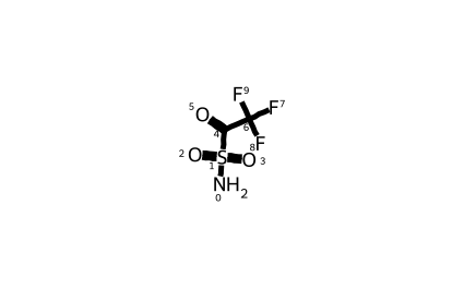 NS(=O)(=O)C(=O)C(F)(F)F